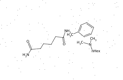 CCCCCCN(C)C.Cc1ccccc1.NC(=O)CCCCC(N)=O